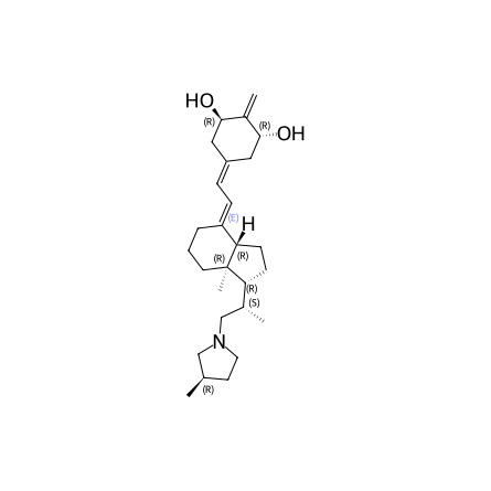 C=C1[C@H](O)CC(=C/C=C2\CCC[C@]3(C)[C@@H]([C@H](C)CN4CC[C@@H](C)C4)CC[C@@H]23)C[C@H]1O